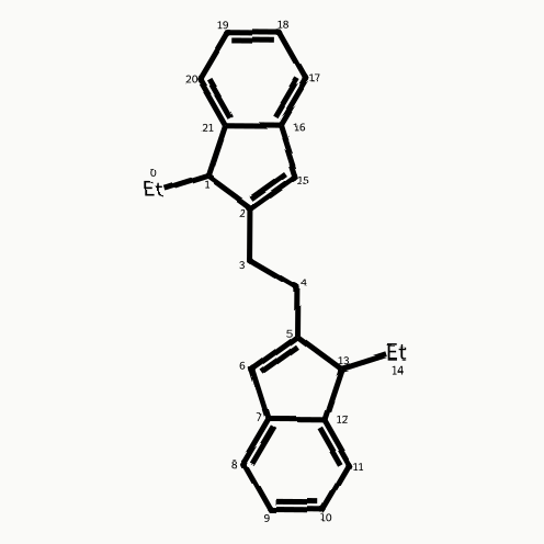 CCC1C(CCC2=Cc3ccccc3C2CC)=Cc2ccccc21